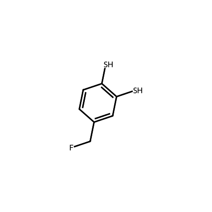 FCc1ccc(S)c(S)c1